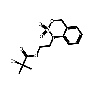 CCC(C)(C)C(=O)OCCN1c2ccccc2COS1(=O)=O